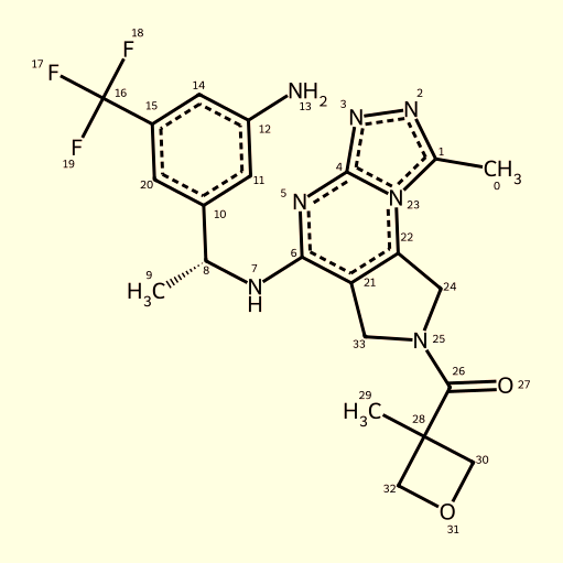 Cc1nnc2nc(N[C@H](C)c3cc(N)cc(C(F)(F)F)c3)c3c(n12)CN(C(=O)C1(C)COC1)C3